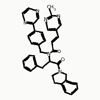 Cc1ncc(C=CC(=O)N(Cc2ccc(-c3cnccn3)cc2)C(Cc2ccccc2)C(=O)N2CCc3ccccc3C2)cn1